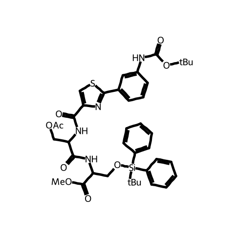 COC(=O)C(CO[Si](c1ccccc1)(c1ccccc1)C(C)(C)C)NC(=O)C(COC(C)=O)NC(=O)c1csc(-c2cccc(NC(=O)OC(C)(C)C)c2)n1